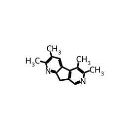 Cc1cc2c(nc1C)Cc1cnc(C)c(C)c1-2